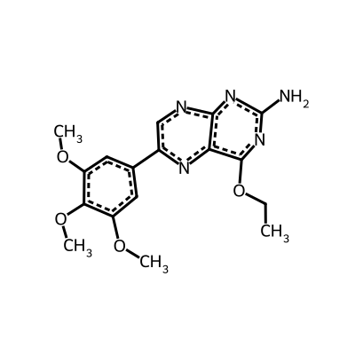 CCOc1nc(N)nc2ncc(-c3cc(OC)c(OC)c(OC)c3)nc12